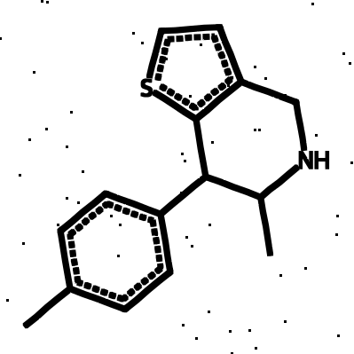 Cc1ccc(C2c3sccc3CNC2C)cc1